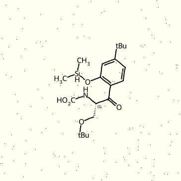 C[SiH](C)Oc1cc(C(C)(C)C)ccc1C(=O)[C@H](COC(C)(C)C)NC(=O)O